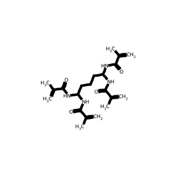 C=C(C)C(=O)NC(CCCC(NC(=O)C(=C)C)NC(=O)C(=C)C)NC(=O)C(=C)C